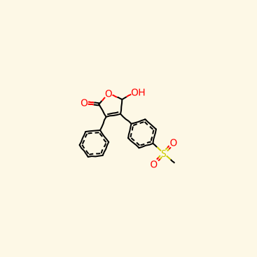 CS(=O)(=O)c1ccc(C2=C(c3ccccc3)C(=O)OC2O)cc1